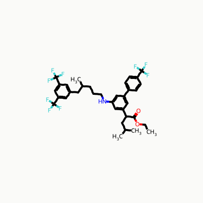 CCOC(=O)C(CC(C)C)c1cc(NCCCC(C)Cc2cc(C(F)(F)F)cc(C(F)(F)F)c2)cc(-c2ccc(C(F)(F)F)cc2)c1